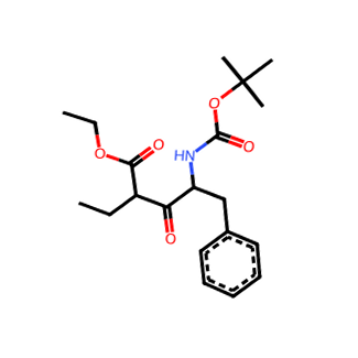 CCOC(=O)C(CC)C(=O)C(Cc1ccccc1)NC(=O)OC(C)(C)C